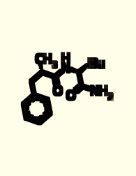 CC[C@H](C)[C@H](NC(=O)[C@@H](C)Cc1ccccc1)C(N)=O